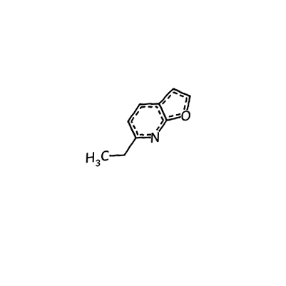 CCc1ccc2ccoc2n1